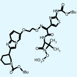 CC(C)(C)OC(=O)Nc1nc(C(=NOCCOc2ccc3nc(C4CCCN(C(=O)OC(C)(C)C)C4)cn3c2)C(=O)NC2C(=O)N(OS(=O)(=O)O)C2(C)C)cs1